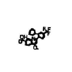 COc1cc(-c2ccc(C(F)(F)F)cc2-c2ccccc2)nc2cc(C(=O)O)ccc12